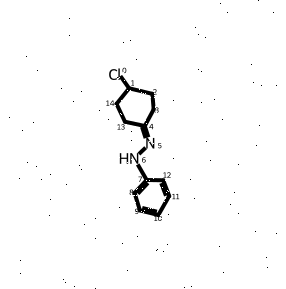 ClC1CCC(=NNc2ccccc2)CC1